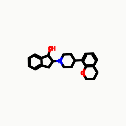 OC1c2ccccc2CC1N1CCC(c2cccc3c2OCCC3)CC1